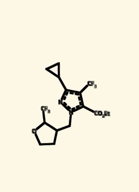 CCOC(=O)c1c(C(F)(F)F)c(C2CC2)nn1CC1CCOC1C(F)(F)F